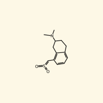 CN(C)C1CCc2cccc(C=S(=O)=O)c2C1